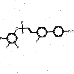 CCCc1ccc(-c2ccc(C=CC(F)(F)Oc3cc(F)c(F)c(F)c3)c(F)c2)cc1